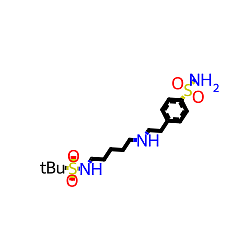 CC(C)(C)S(=O)(=O)NCCCCCNCCc1ccc(S(N)(=O)=O)cc1